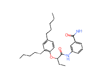 CCCCCc1ccc(OC(CC)C(=O)Nc2cccc(C([NH])=O)c2)c(CCCCC)c1